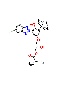 C=C(C)C(=O)OCC(O)COc1cc(-n2nc3ccc(Cl)cc3n2)c(O)c(C(C)(C)C)c1